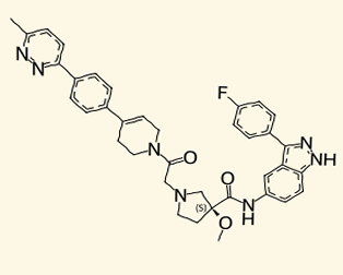 CO[C@@]1(C(=O)Nc2ccc3[nH]nc(-c4ccc(F)cc4)c3c2)CCN(CC(=O)N2CC=C(c3ccc(-c4ccc(C)nn4)cc3)CC2)C1